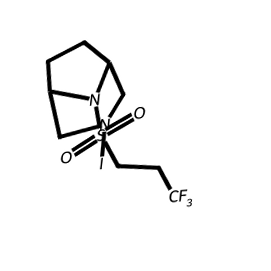 O=S(=O)(CCC(F)(F)F)N1C2CCC1CN(I)C2